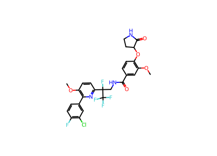 COc1cc(C(=O)NCC(F)(c2ccc(OC)c(-c3ccc(F)c(Cl)c3)n2)C(F)(F)F)ccc1OC1CCNC1=O